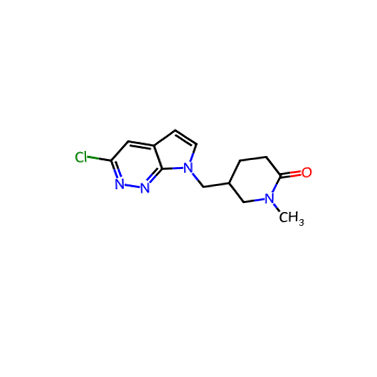 CN1CC(Cn2ccc3cc(Cl)nnc32)CCC1=O